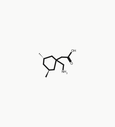 C[C@H]1C[C@H](C)CC(CN)(CC(=O)O)C1